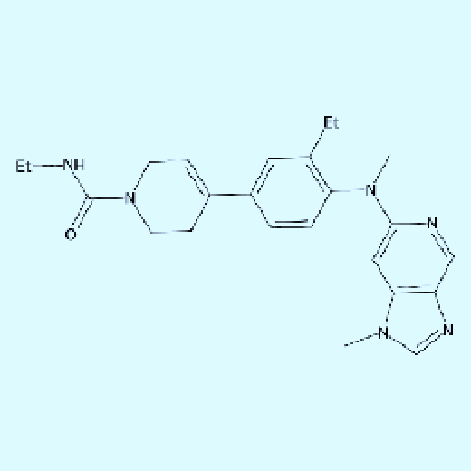 CCNC(=O)N1CC=C(c2ccc(N(C)c3cc4c(cn3)ncn4C)c(CC)c2)CC1